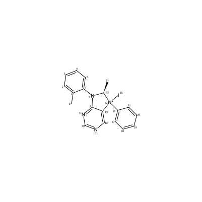 Cc1ccccc1N1c2ncncc2[N+](I)(c2ccccc2)[C@@H]1C